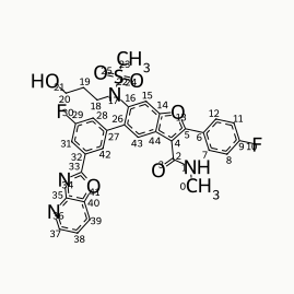 CNC(=O)c1c(-c2ccc(F)cc2)oc2cc(N(CCCO)S(C)(=O)=O)c(-c3cc(F)cc(-c4nc5ncccc5o4)c3)cc12